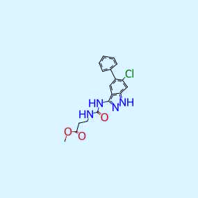 COC(=O)CCNC(=O)Nc1n[nH]c2cc(Cl)c(-c3ccccc3)cc12